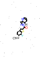 COc1ccc2cc(C(=O)N[C@@H]3C4CCN(CC4)C34CC4)sc2c1F